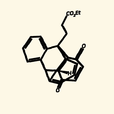 CCOC(=O)CCC12c3ccccc3C3(c4cccc1c43)[C@H]1C(=O)C=CC(=O)C12